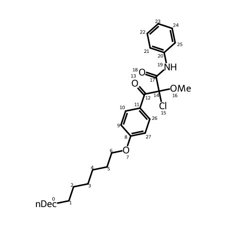 CCCCCCCCCCCCCCCCOc1ccc(C(=O)C(Cl)(OC)C(=O)Nc2ccccc2)cc1